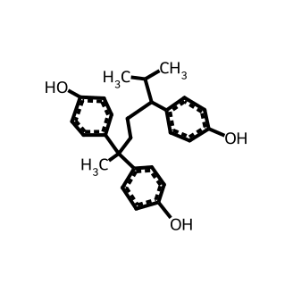 CC(C)C(CCC(C)(c1ccc(O)cc1)c1ccc(O)cc1)c1ccc(O)cc1